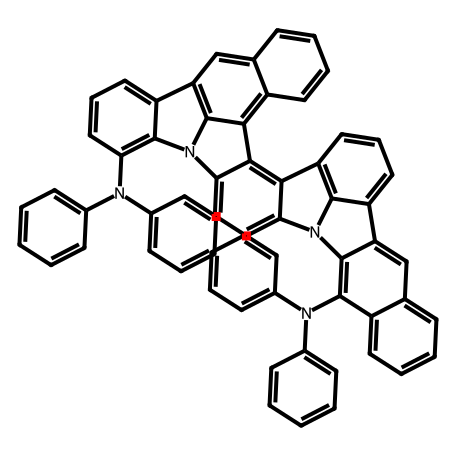 c1ccc(N(c2ccccc2)c2c3ccccc3cc3c4cccc5c6c7c8c9ccccc9cc9c%10cccc(N(c%11ccccc%11)c%11ccccc%11)c%10n(c7ccc6n(c23)c45)c98)cc1